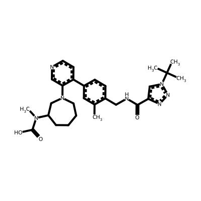 Cc1cc(-c2ccncc2N2CCCCC(N(C)C(=O)O)C2)ccc1CNC(=O)c1cn(C(C)(C)C)nn1